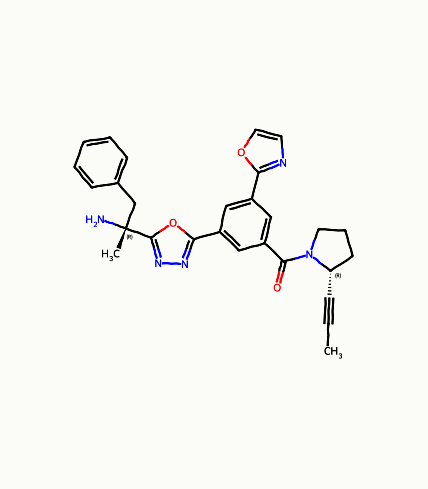 CC#C[C@H]1CCCN1C(=O)c1cc(-c2ncco2)cc(-c2nnc([C@](C)(N)Cc3ccccc3)o2)c1